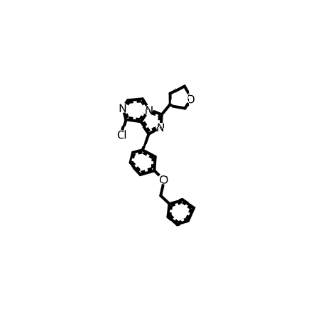 Clc1nccn2c(C3CCOC3)nc(-c3cccc(OCc4ccccc4)c3)c12